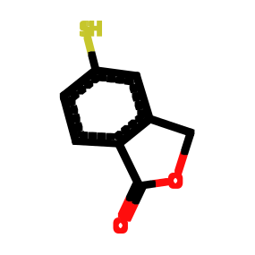 O=C1OCc2cc(S)ccc21